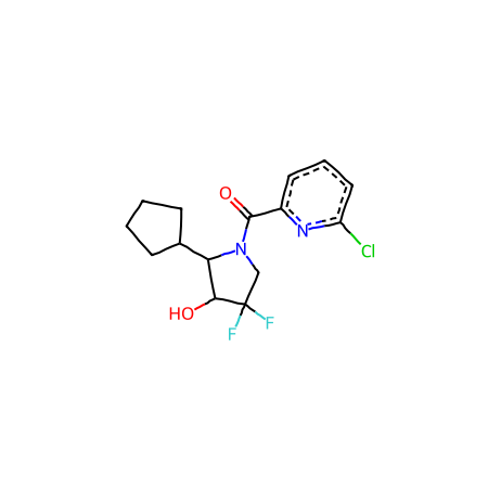 O=C(c1cccc(Cl)n1)N1CC(F)(F)C(O)C1C1CCCC1